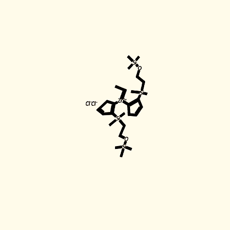 C[CH]=[Zr+2]([C]1=C([Si](C)(C)CCO[Si](C)(C)C)C=CC1)[C]1=C([Si](C)(C)CCO[Si](C)(C)C)C=CC1.[Cl-].[Cl-]